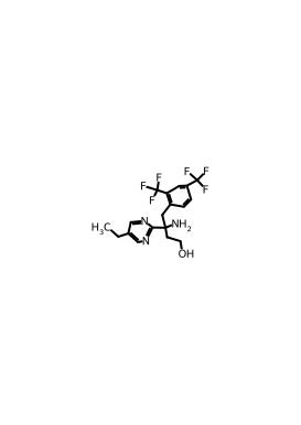 CCc1cnc(C(N)(CCO)Cc2ccc(C(F)(F)F)cc2C(F)(F)F)nc1